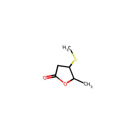 CSC1CC(=O)OC1C